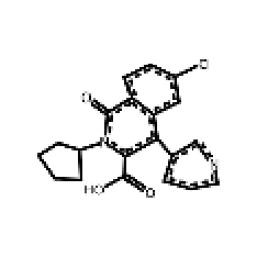 O=C(O)c1c(-c2cccnc2)c2cc(Cl)ccc2c(=O)n1C1CCCC1